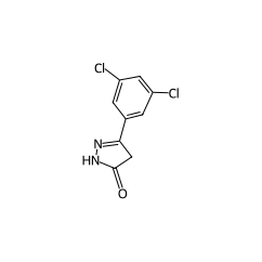 O=C1CC(c2cc(Cl)cc(Cl)c2)=NN1